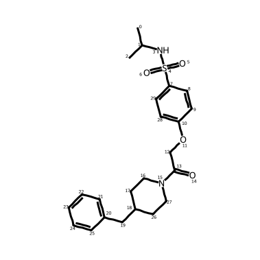 CC(C)NS(=O)(=O)c1ccc(OCC(=O)N2CCC(Cc3ccccc3)CC2)cc1